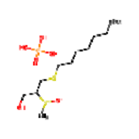 CCCCCCCCCCCCCCCCSCC(CO)[S+](C)[O-].O=P(O)(O)O